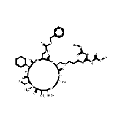 CCCCCC[C@H]1OC[C@@H](C)NC(=O)[C@H](COCCCN=C(NC(=O)OC(C)(C)C)NC(=O)OC(C)(C)C)NC(=O)[C@H](CNC(=O)OCc2ccccc2)NC(=O)[C@H](C2CCCCC2)NC(=O)[C@H](CC(C)C)N(C)C(=O)[C@@H]1C